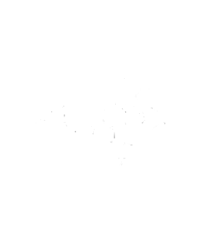 COC(=O)[C@H](c1ccccc1Cl)N1CCC(SCOC(=O)OC(C)C)/C(=C/C(=O)O)C1